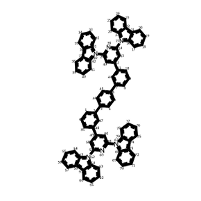 c1cc(-c2ccc(-c3cccc(-c4cc(-n5c6ccccc6c6ccccc65)nc(-n5c6ccccc6c6ccccc65)c4)c3)cc2)cc(-c2cc(-n3c4ccccc4c4ccccc43)nc(-n3c4ccccc4c4ccccc43)c2)c1